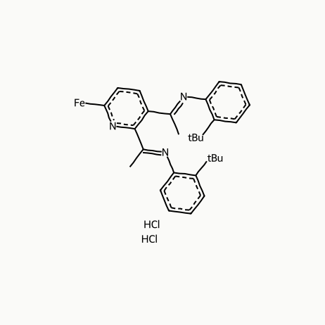 CC(=Nc1ccccc1C(C)(C)C)c1cc[c]([Fe])nc1C(C)=Nc1ccccc1C(C)(C)C.Cl.Cl